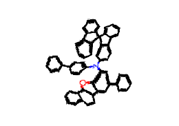 c1ccc(-c2ccc(N(c3ccc4c(c3)C3(c5ccccc5-c5ccccc53)c3ccccc3-4)c3cc(-c4ccccc4)cc4c3oc3c5ccccc5ccc43)cc2)cc1